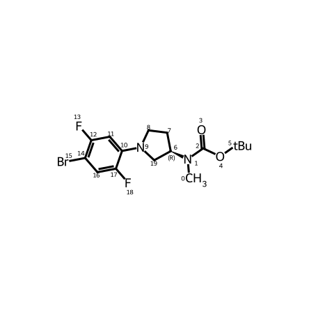 CN(C(=O)OC(C)(C)C)[C@@H]1CCN(c2cc(F)c(Br)cc2F)C1